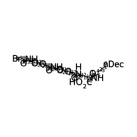 CCCCCCCCCCCCCCCC(=O)NC(CCCCNC(=O)CCOCCOCCNC(=O)CCOCCOCCNC(=O)CBr)C(=O)O